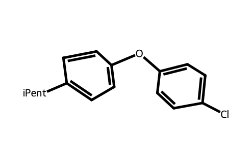 [CH2]CCC(C)c1ccc(Oc2ccc(Cl)cc2)cc1